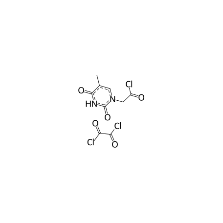 Cc1cn(CC(=O)Cl)c(=O)[nH]c1=O.O=C(Cl)C(=O)Cl